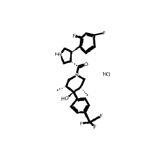 C[C@@H]1CN(C(=O)[C@@H]2CNC[C@H]2c2ccc(F)cc2F)C[C@H](C)[C@]1(O)c1ccc(C(F)(F)F)cc1.Cl